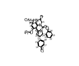 COC1(C)C=C(OC(C)C)C2(C)C3=N[C@@H](c4ccc(Cl)cc4)[C@@H](c4ccccc4Cl)N3C(=O)N3CC(=O)NC1=C32